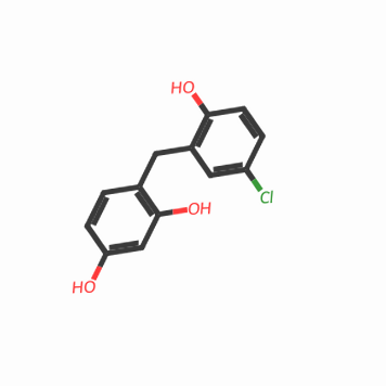 Oc1ccc(Cc2cc(Cl)ccc2O)c(O)c1